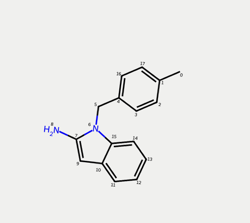 Cc1ccc(Cn2c(N)cc3ccccc32)cc1